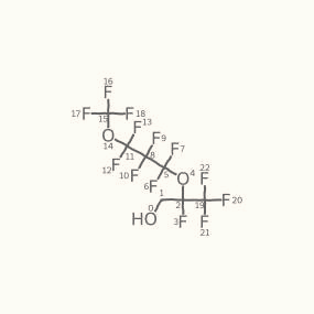 OCC(F)(OC(F)(F)C(F)(F)C(F)(F)OC(F)(F)F)C(F)(F)F